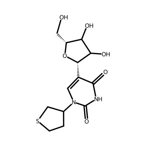 O=c1[nH]c(=O)n(C2CCSC2)cc1[C@@H]1O[C@H](CO)C(O)C1O